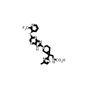 Cc1csc(C2(CNC(=O)O)C3CCN(c4nc5nc(Sc6cccnc6C(F)(F)F)cnc5[nH]4)CC32)n1